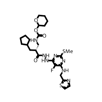 CSc1nc(NCc2nccs2)c(F)c(NNC(=O)[C@@H](CNC(=O)OC2CCCCO2)CC2CCCC2)n1